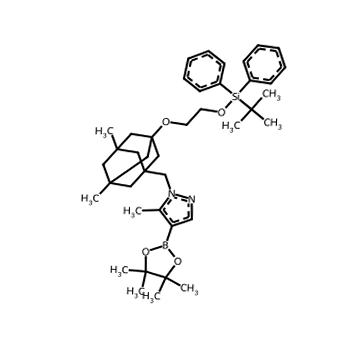 Cc1c(B2OC(C)(C)C(C)(C)O2)cnn1CC12CC3(C)CC(C)(C1)CC(OCCO[Si](c1ccccc1)(c1ccccc1)C(C)(C)C)(C3)C2